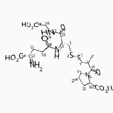 CC(CSSC[C@H](NC(=O)CC[C@H](N)C(=O)O)C(=O)NCC(=O)O)C(=O)N1CCCC1C(=O)O